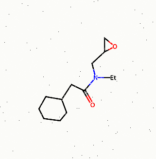 CCN(CC1CO1)C(=O)CC1CCCCC1